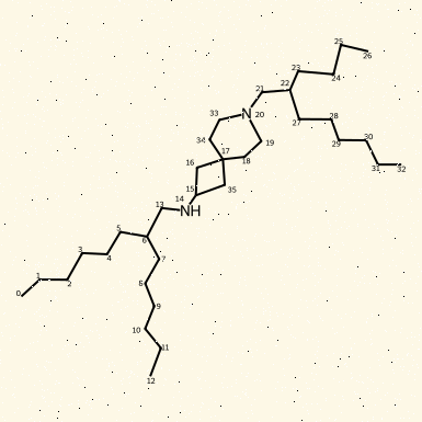 CCCCCCC(CCCCCC)CNC1CC2(CCN(CC(CCCC)CCCCCC)CC2)C1